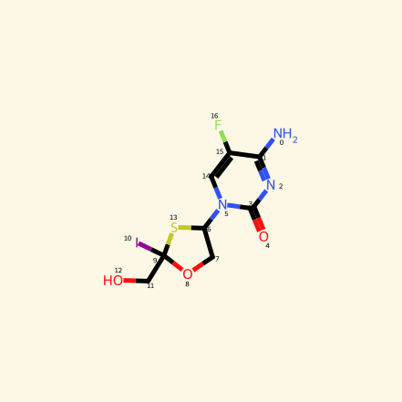 Nc1nc(=O)n(C2COC(I)(CO)S2)cc1F